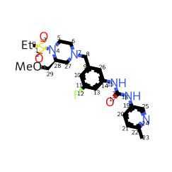 CCS(=O)(=O)N1CCN(Cc2cc(F)cc(NC(=O)Nc3ccc(C)nc3)c2)C[C@H]1COC